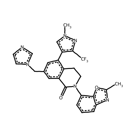 Cc1nc2cccc(N3CCc4c(cc(Cn5ccnc5)cc4-c4cn(C)nc4C(F)(F)F)C3=O)c2o1